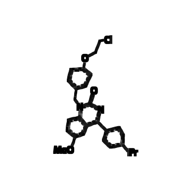 COc1ccc2c(c1)c(-c1ccc(C(C)C)cc1)nc(=O)n2Cc1ccc(OCCCl)cc1